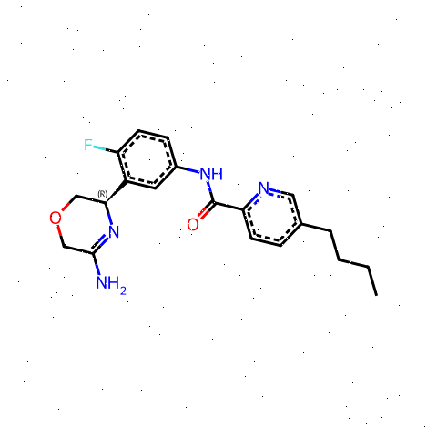 CCCCc1ccc(C(=O)Nc2ccc(F)c([C@@H]3COCC(N)=N3)c2)nc1